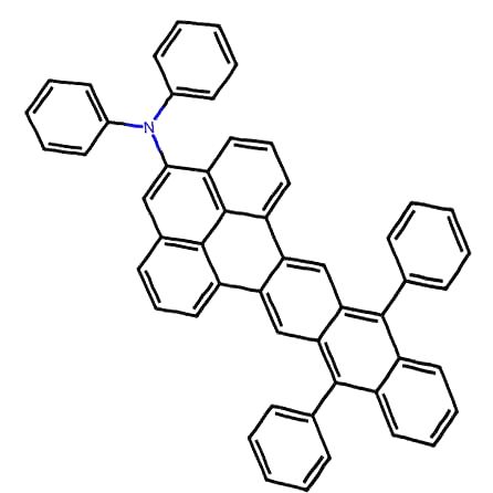 c1ccc(-c2c3ccccc3c(-c3ccccc3)c3cc4c(cc23)c2cccc3cc(N(c5ccccc5)c5ccccc5)c5cccc4c5c32)cc1